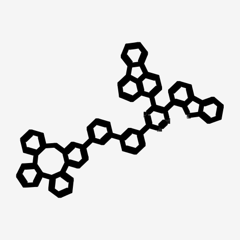 c1cc(-c2cccc(-c3nnc(-c4cccc5c4sc4ccccc45)c(-c4ccc5c6c(cccc46)-c4ccccc4-5)n3)c2)cc(-c2ccc3c(c2)Cc2ccccc2-c2ccccc2-c2ccccc2-3)c1